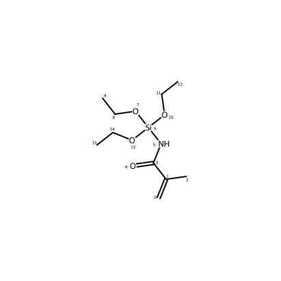 C=C(C)C(=O)N[Si](OCC)(OCC)OCC